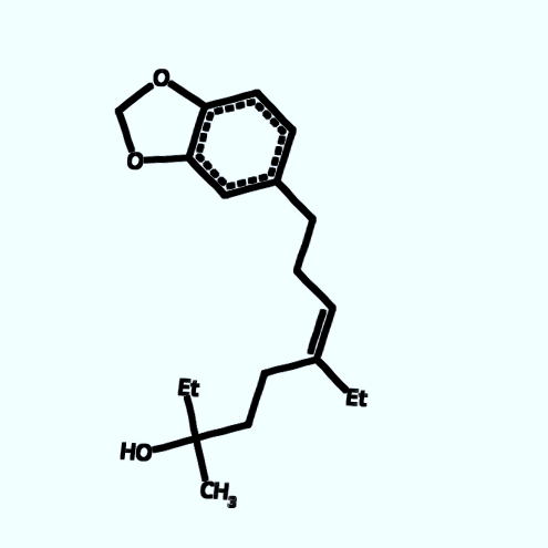 CCC(=CCCc1ccc2c(c1)OCO2)CCC(C)(O)CC